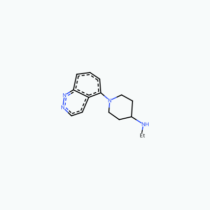 CCNC1CCN(c2cccc3nnccc23)CC1